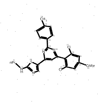 CCCNc1ncc(-c2cc(-c3c(Cl)cc(OC)cc3Cl)nc(-c3ccc(C)cc3)n2)s1